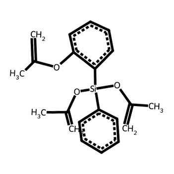 C=C(C)Oc1ccccc1[Si](OC(=C)C)(OC(=C)C)c1ccccc1